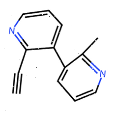 C#Cc1ncccc1-c1cccnc1C